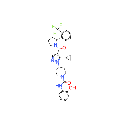 O=C(Nc1ccccc1O)N1CCC(n2ncc(C(=O)N3CCCC3c3ccccc3C(F)(F)F)c2C2CC2)CC1